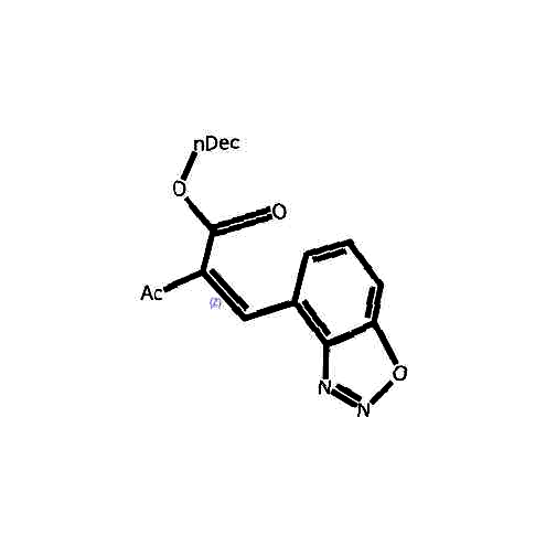 CCCCCCCCCCOC(=O)/C(=C\c1cccc2onnc12)C(C)=O